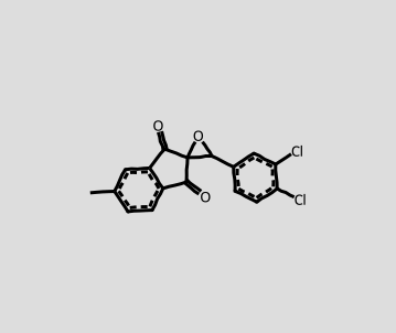 Cc1ccc2c(c1)C(=O)C1(OC1c1ccc(Cl)c(Cl)c1)C2=O